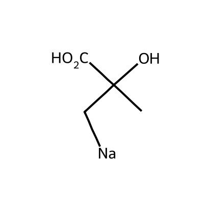 CC(O)([CH2][Na])C(=O)O